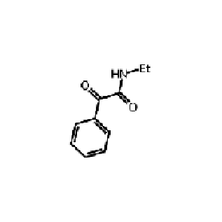 CCNC(=O)C(=O)c1ccccc1